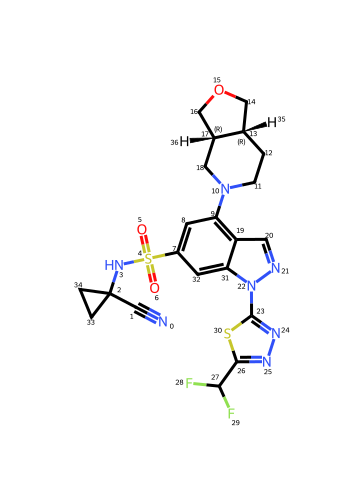 N#CC1(NS(=O)(=O)c2cc(N3CC[C@H]4COC[C@H]4C3)c3cnn(-c4nnc(C(F)F)s4)c3c2)CC1